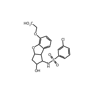 O=C(O)COc1cccc2c1OC1CC(O)C(NS(=O)(=O)c3cccc(Cl)c3)C21